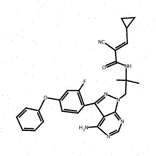 CC(C)(Cn1nc(-c2ccc(Oc3ccccc3)cc2F)c2c(N)ncnc21)NC(=O)C(C#N)=CC1CC1